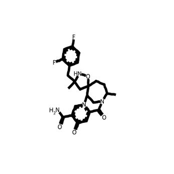 CC1CCC2(CC(C)(Cc3ccc(F)cc3F)NO2)C2CN1C(=O)c1cc(=O)c(C(N)=O)cn12